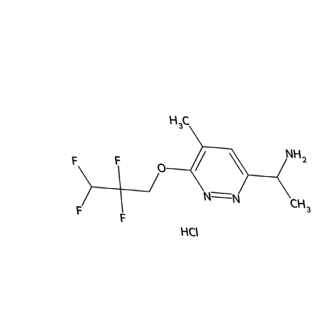 Cc1cc(C(C)N)nnc1OCC(F)(F)C(F)F.Cl